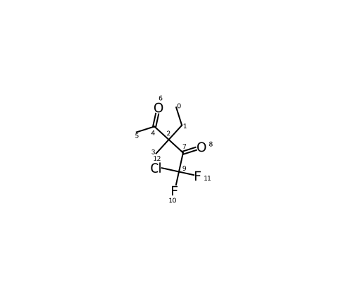 CCC(C)(C(C)=O)C(=O)C(F)(F)Cl